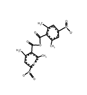 Cc1cc([N+](=O)[O-])cc(C)c1C(=O)OC(=O)c1c(C)cc([N+](=O)[O-])cc1C